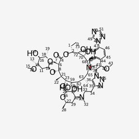 CC[C@H]1OC(=O)[C@H](C)[C@@H](O[C@H]2C[C@@](C)(OC)[C@@H](O)[C@H](C)O2)[C@H](C)[C@@H](O[C@@H]2O[C@H](C)C[C@H](N(C)CCc3cn([C@H](CF)[C@H](OC)c4ccc(-n5cncn5)cc4)nn3)[C@H]2O)[C@](C)(O)C[C@@H](C)CN(C)[C@H](C)[C@@H](O)[C@]1(C)O